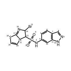 O=S(=O)(Nc1ccc2cn[nH]c2c1)C1C(Br)N=C2SC=CN21